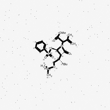 C=C(C)C(C(=O)OC)N1C(=O)[C@H]([C@@H](CO[SiH](C)C)C(C)(C)C)[C@H]1SS(=O)(=O)c1ccccc1